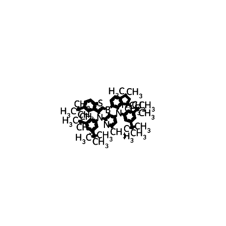 Cc1cc2c3c(n1)N(c1cc(C(C)(C)C)cc(C(C)(C)C)c1)c1c(sc4ccc(C(C)(C)C)cc14)B3c1ccc3c(c1N2c1cc(C(C)(C)C)cc(C(C)(C)C)c1)C(C)(C)CC3(C)C